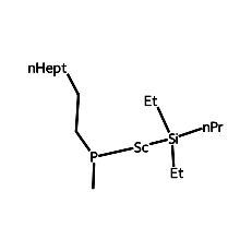 CCCCCCCCC[P](C)[Sc][Si](CC)(CC)CCC